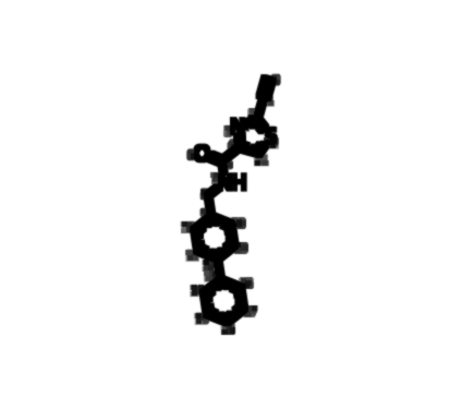 C#Cc1nc(C(=O)NCc2ccc(-c3ccccc3)cc2)cs1